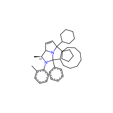 Cc1ccccc1N1[C@@H](C)C2C=CC(C3CCCCC3)(C3CCCC3)N2C1(c1ccccc1)C1CCCCCCCC1